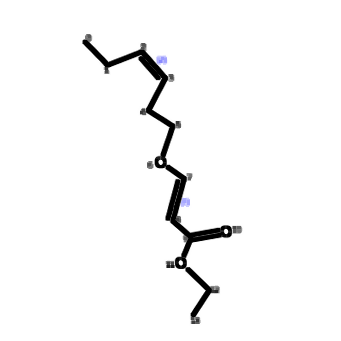 CC/C=C\CCO/C=C/C(=O)OCC